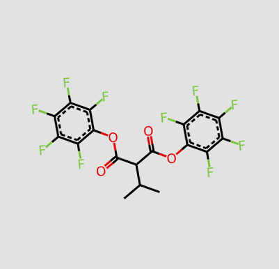 CC(C)C(C(=O)Oc1c(F)c(F)c(F)c(F)c1F)C(=O)Oc1c(F)c(F)c(F)c(F)c1F